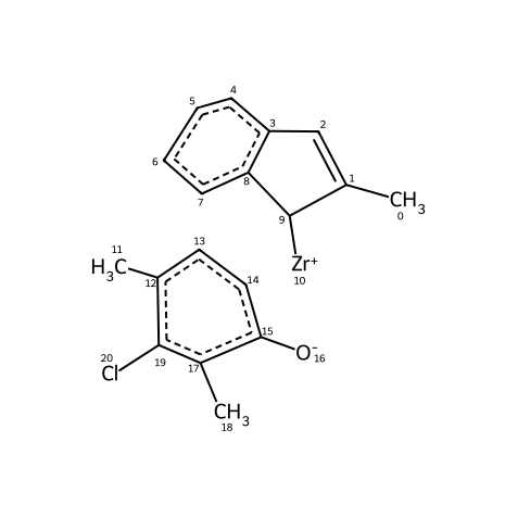 CC1=Cc2ccccc2[CH]1[Zr+].Cc1ccc([O-])c(C)c1Cl